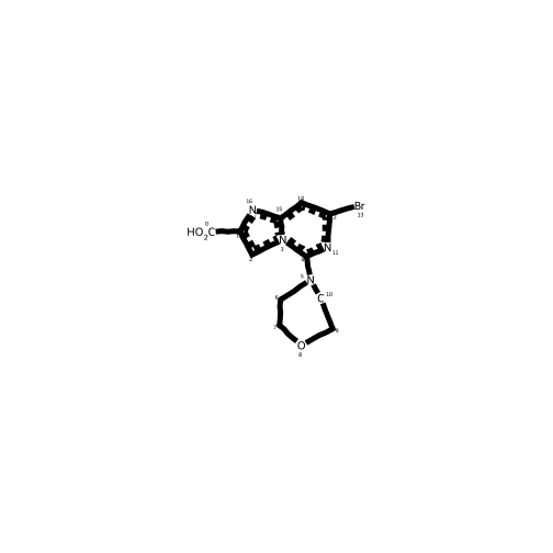 O=C(O)c1cn2c(N3CCOCC3)nc(Br)cc2n1